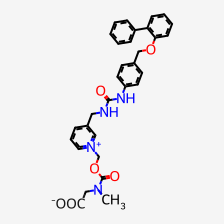 CN(CC(=O)[O-])C(=O)OC[n+]1cccc(CNC(=O)Nc2ccc(COc3ccccc3-c3ccccc3)cc2)c1